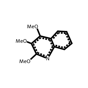 COc1nc2ccccc2c(OC)c1OC